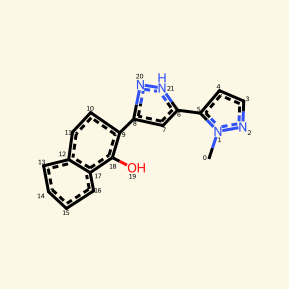 Cn1nccc1-c1cc(-c2ccc3ccccc3c2O)n[nH]1